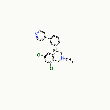 CN1Cc2c(Cl)cc(Cl)cc2[C@H](c2cccc(-c3ccncc3)c2)C1